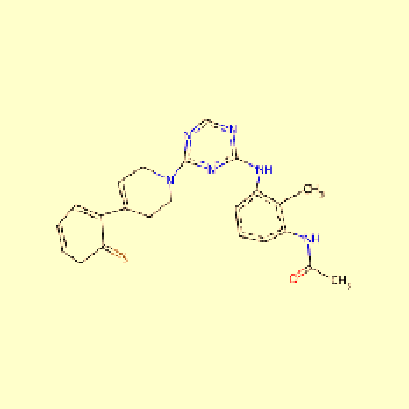 CC(=O)Nc1cccc(Nc2ncnc(N3CC=C(C4=CC=CCC4=S)CC3)n2)c1C